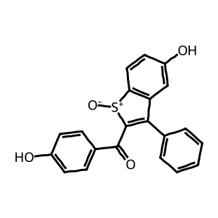 O=C(c1ccc(O)cc1)c1c(-c2ccccc2)c2cc(O)ccc2[s+]1[O-]